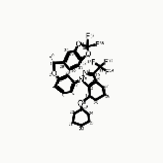 C[C@@H](Oc1cccc(-n2nc(C(F)(F)F)c3c2C(OC2CCCCC2)CCC3)c1)c1ccc2c(c1)OC(F)(F)O2